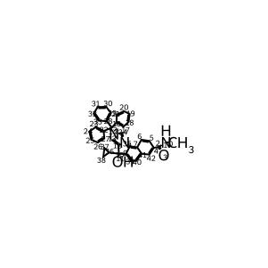 CNC(=O)c1ccc2cc(C(O)(c3cn(C(c4ccccc4)(c4ccccc4)c4ccccc4)cn3)C3CC3)ccc2c1